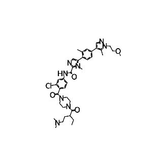 CCC(CCN(C)C)C(=O)N1CCN(C(=O)c2ccc(NC(=O)c3ncc(-c4ccc(-c5cnn(CCOC)c5C)cc4C)n3C)cc2Cl)CC1